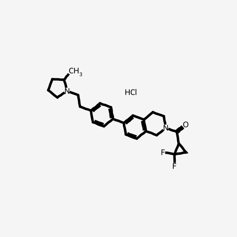 CC1CCCN1CCc1ccc(-c2ccc3c(c2)CCN(C(=O)C2CC2(F)F)C3)cc1.Cl